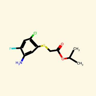 CC(C)OC(=O)CSc1cc(N)c(F)cc1Cl